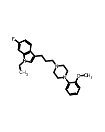 CCn1cc(CCCN2CCN(c3ccccc3OC)CC2)c2ccc(F)cc21